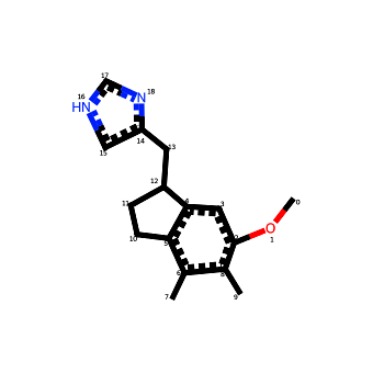 COc1cc2c(c(C)c1C)CCC2Cc1c[nH]cn1